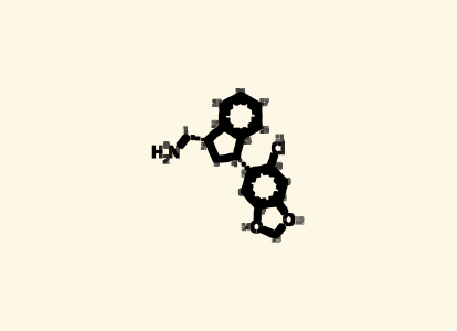 NC[C@H]1C[C@@H](c2cc3c(cc2Cl)OCO3)c2ccccc21